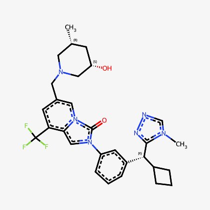 C[C@@H]1C[C@H](O)CN(Cc2cc(C(F)(F)F)c3cn(-c4cccc([C@H](c5nncn5C)C5CCC5)c4)c(=O)n3c2)C1